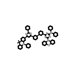 CC1(C)c2ccccc2N(c2ccccc2)c2cc(-c3cc(-c4cccc(-c5cccc(-c6nc(N(c7ccccc7)c7ccccc7)nc(N7c8ccccc8Oc8ccccc87)n6)c5)c4)nc(-c4ccccc4)n3)ccc21